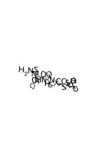 Nc1nc(C(=NOC2CCCC2)C(=O)NC2C(=O)N3CC(C=CSc4cc(=O)c5ccccc5s4)(C(=O)O)CS[C@H]23)cs1